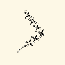 O=[Te](=O)([O-])I.O=[Te](=O)([O-])I.O=[Te](=O)([O-])I.O=[Te](=O)([O-])I.O=[Te](=O)([O-])I.O=[Te](=O)([O-])I.[K+].[K+].[K+].[K+].[K+].[K+]